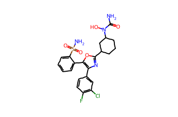 NC(=O)N(O)C1CCCC(c2nc(-c3ccc(F)c(Cl)c3)c(-c3ccccc3S(N)(=O)=O)o2)C1